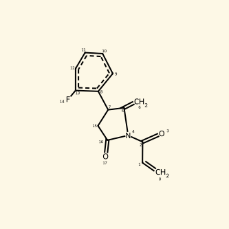 C=CC(=O)N1C(=C)C(c2ccccc2F)CC1=O